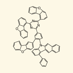 c1ccc(-c2cccc3c2c2cc4ccccc4cc2n3-c2ccc(-c3nc(-c4cccc5oc6ccccc6c45)nc(-c4cccc5oc6ccccc6c45)n3)cc2-c2ccc3oc4ccccc4c3c2)cc1